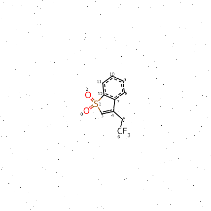 O=S1(=O)C=C(CC(F)(F)F)c2ccccc21